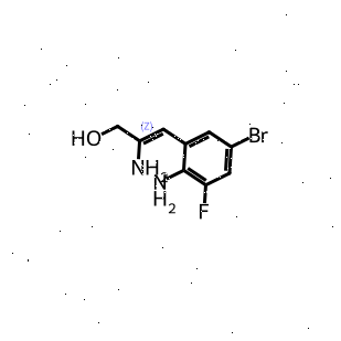 N/C(=C\c1cc(Br)cc(F)c1N)CO